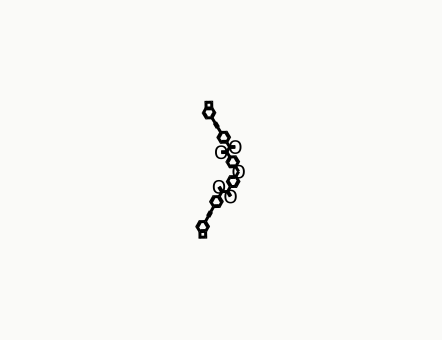 O=C(C(=O)c1ccc(Oc2ccc(C(=O)C(=O)c3ccc(C#Cc4ccc5c(c4)CC5)cc3)cc2)cc1)c1ccc(C#Cc2ccc3c(c2)CC3)cc1